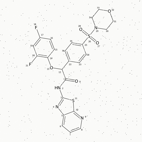 O=C(Nc1nc2cccnc2s1)C(Oc1ccc(F)cc1F)c1ccc(S(=O)(=O)N2CCOCC2)cc1